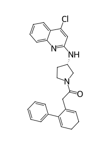 O=C(CC1=CCCC=C1c1ccccc1)N1CC[C@H](Nc2cc(Cl)c3ccccc3n2)C1